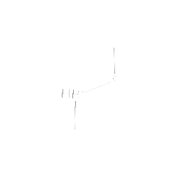 CBSC